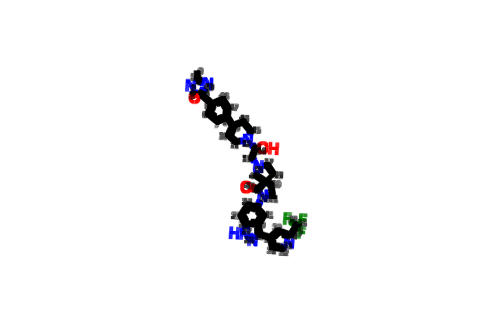 Cc1noc(-c2ccc(C3=CCN(C(O)CN4CC[C@]5(CCN(c6ccc7[nH]nc(-c8ccnc(C(F)(F)F)c8)c7c6)C5=O)C4)CC3)cc2)n1